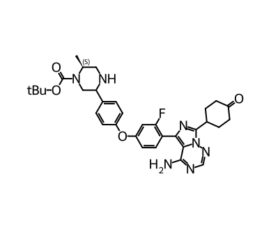 C[C@H]1CNC(c2ccc(Oc3ccc(-c4nc(C5CCC(=O)CC5)n5ncnc(N)c45)c(F)c3)cc2)CN1C(=O)OC(C)(C)C